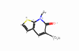 CC(C)n1c(=O)c(C(=O)O)cc2ccsc21